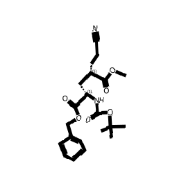 COC(=O)[C@@H](CCC#N)C[C@H](NC(=O)OC(C)(C)C)C(=O)OCc1ccccc1